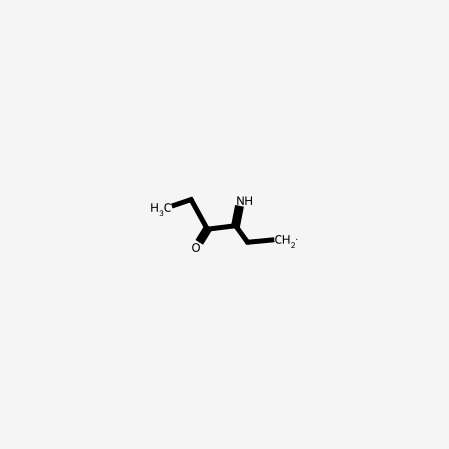 [CH2]CC(=N)C(=O)CC